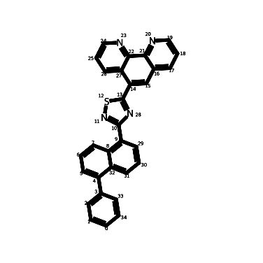 c1ccc(-c2cccc3c(-c4nsc(-c5cc6cccnc6c6ncccc56)n4)cccc23)cc1